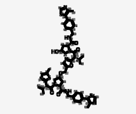 Cc1cnc([C@H](C(=O)N2C[C@H](OCc3cnc([C@H](C(=O)N4C[C@H](O)C[C@H]4C(=O)NCc4ccc(-c5scnc5C)cc4)C(C)C)o3)C[C@H]2C(=O)NCc2ccc(-c3scnc3C)cc2)C(C)C)s1